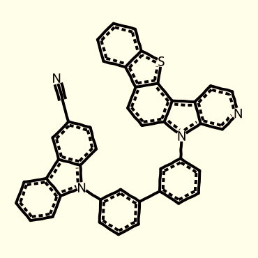 N#Cc1ccc2c(c1)c1ccccc1n2-c1cccc(-c2cccc(-n3c4cnccc4c4c5sc6ccccc6c5ccc43)c2)c1